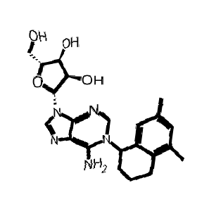 Cc1cc(C)c2c(c1)C(N1CN=c3c(ncn3[C@@H]3O[C@H](CO)[C@@H](O)[C@H]3O)=C1N)CCC2